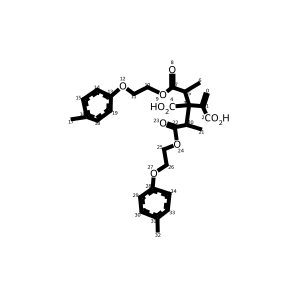 C=C(C(=O)O)C(C(=O)O)(C(C)C(=O)OCCOc1ccc(C)cc1)C(C)C(=O)OCCOc1ccc(C)cc1